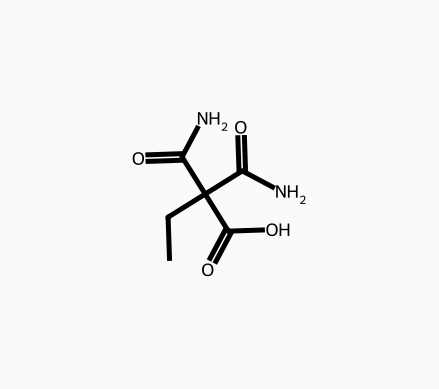 CCC(C(N)=O)(C(N)=O)C(=O)O